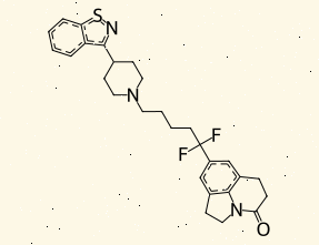 O=C1CCc2cc(C(F)(F)CCCCN3CCC(c4nsc5ccccc45)CC3)cc3c2N1CC3